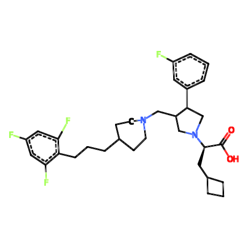 O=C(O)[C@@H](CC1CCC1)N1CC(CN2CCC(CCCc3c(F)cc(F)cc3F)CC2)C(c2cccc(F)c2)C1